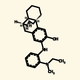 CCN(C)c1ccccc1Nc1cc2c(cc1O)[C@]13CCCC[C@@H]1[C@H](C2)NCC3